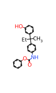 CCC(C)(c1ccc(NC(=O)Oc2ccccc2)cc1)c1cccc(O)c1